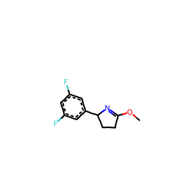 COC1=NC(c2cc(F)cc(F)c2)CC1